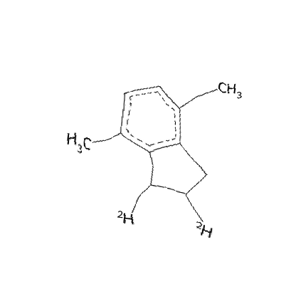 [2H]C1Cc2c(C)ccc(C)c2C1[2H]